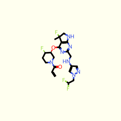 C=CC(=O)N1CC[C@@H](F)[C@@H](Oc2nc(CNc3cnn(CC(F)F)c3)nc3c2C(C)(F)CN3)C1